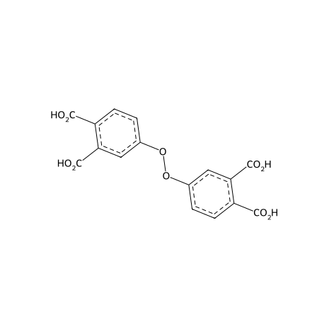 O=C(O)c1ccc(OOc2ccc(C(=O)O)c(C(=O)O)c2)cc1C(=O)O